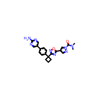 CN(C)C(=O)n1cc(-c2nc(C3(c4ccc(-c5cnc(N)nc5)cc4)CCC3)no2)cn1